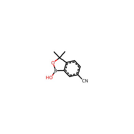 CC1(C)OB(O)c2cc(C#N)ccc21